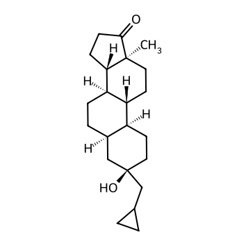 C[C@]12CC[C@H]3[C@@H](CC[C@@H]4C[C@@](O)(CC5CC5)CC[C@@H]43)[C@@H]1CCC2=O